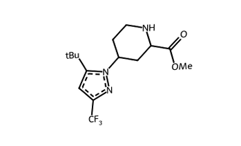 COC(=O)C1CC(n2nc(C(F)(F)F)cc2C(C)(C)C)CCN1